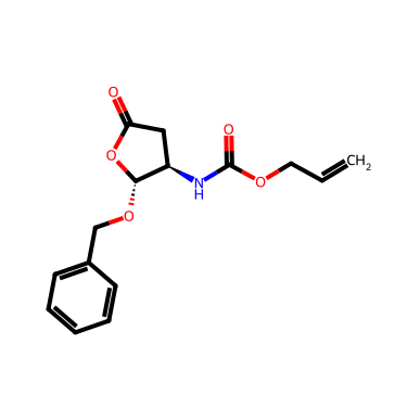 C=CCOC(=O)N[C@@H]1CC(=O)O[C@H]1OCc1ccccc1